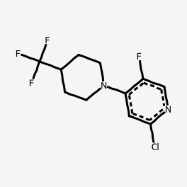 Fc1cnc(Cl)cc1N1CCC(C(F)(F)F)CC1